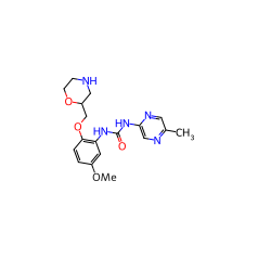 COc1ccc(OCC2CNCCO2)c(NC(=O)Nc2cnc(C)cn2)c1